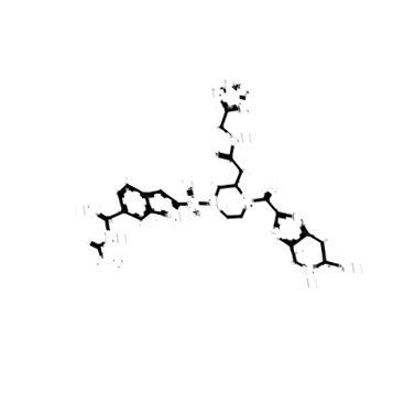 COC(=O)NC(=N)c1ccc2cc(S(=O)(=O)N3CCN(C(=O)c4nc5c(s4)CNC(C)C5)C(CC(=O)NCc4nnn[nH]4)C3)[nH]c2c1